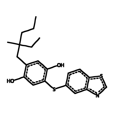 CCCC(C)(CC)Cc1cc(O)c(Sc2ccc3scnc3c2)cc1O